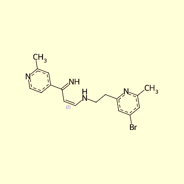 Cc1cc(C(=N)/C=C\NCCc2cc(Br)cc(C)n2)ccn1